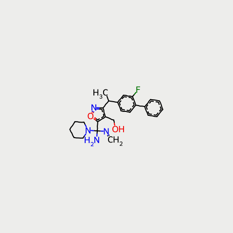 C=NC(N)(c1onc(C(C)c2ccc(-c3ccccc3)c(F)c2)c1CO)N1CCCCC1